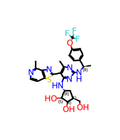 Cc1nc(N[C@H](C)c2ccc(OC(F)(F)F)cc2)nc(N[C@@H]2C[C@@H](CO)[C@@H](O)[C@H]2O)c1-c1nc2c(C)nccc2s1